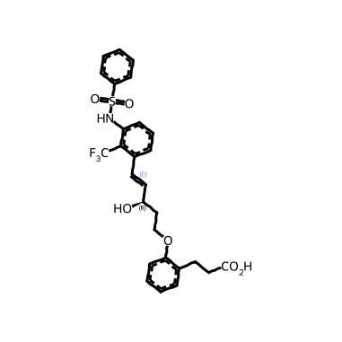 O=C(O)CCc1ccccc1OCC[C@@H](O)/C=C/c1cccc(NS(=O)(=O)c2ccccc2)c1C(F)(F)F